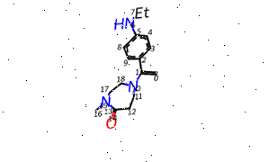 C=C(c1ccc(NCC)cc1)N1CCC(=O)N(C)CC1